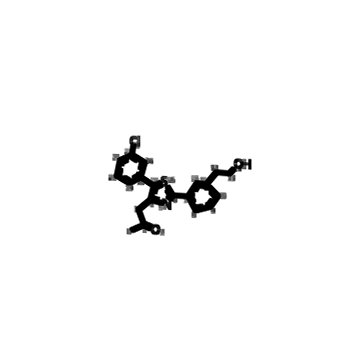 CC(=O)Cc1nc(-c2cccc(CCO)c2)sc1-c1cccc(Cl)c1